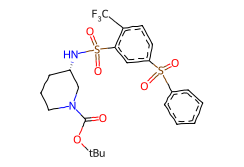 CC(C)(C)OC(=O)N1CCC[C@H](NS(=O)(=O)c2cc(S(=O)(=O)c3ccccc3)ccc2C(F)(F)F)C1